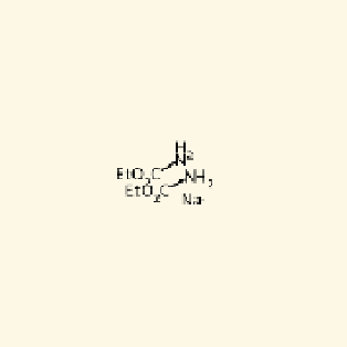 CCOC(N)=O.CCOC(N)=O.[Na]